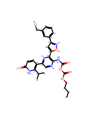 CCCCOC(=O)OC(=O)Nc1ncc(-c2ccc(=O)[nH]c2C(C)C)nc1-c1cc(-c2cccc(CCl)c2)no1